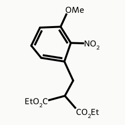 CCOC(=O)C(Cc1cccc(OC)c1[N+](=O)[O-])C(=O)OCC